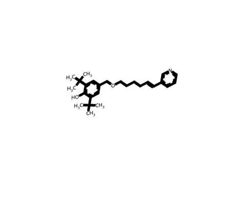 CC(C)(C)c1cc(COCCCCC=Cc2cccnc2)cc(C(C)(C)C)c1O